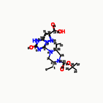 CC[C@@H]1CN(c2nc(=O)[nH]c3cc(C(=O)O)nn23)[C@@H](CC)CN1C(=O)OC(C)(C)C